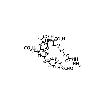 NNC(=O)OCCSSC[C@H](NC(=O)[C@H](CC(=O)O)NC(=O)[C@H](CC(=O)O)NC(=O)Cc1ccc(CNC=O)cc1)C(=O)O